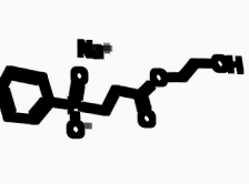 O=C(CCP(=O)([O-])c1ccccc1)OCCO.[Na+]